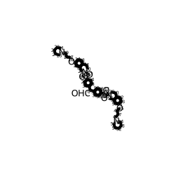 O=CC(c1ccc(S(=O)(=O)N2CCc3ccc(OCCCN4CCCCC4)cc3C2)cc1)c1ccc(S(=O)(=O)N2CCc3ccc(OCCCN4CCCCC4)cc3C2)cc1